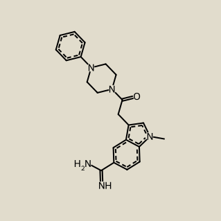 Cn1cc(CC(=O)N2CCN(c3ccccc3)CC2)c2cc(C(=N)N)ccc21